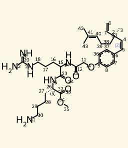 C=C[C@@](C)(/C=C\c1ccc(OCC(=O)NC(CCCNC(=N)N)C(=O)N[C@@H](CCCCN)C(=O)OC)cc1)CCC=C(C)C